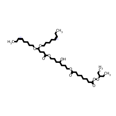 CC/C=C\CCCCOC(CCC(=O)OCCCC(O)CCCOC(=O)CCCCCCC(=O)OOC(CC)CC)OCCCC/C=C\CC